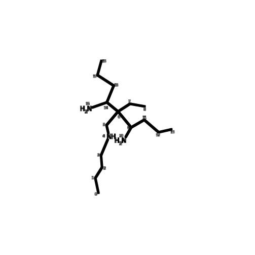 CCCCNCC(CC)(C(N)CCC)C(N)CCC